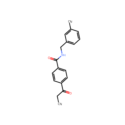 N#CCC(=O)c1ccc(C(=O)NCc2cccc(C#N)c2)cc1